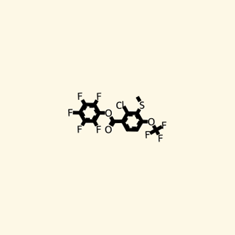 CSc1c(OC(F)(F)F)ccc(C(=O)Oc2c(F)c(F)c(F)c(F)c2F)c1Cl